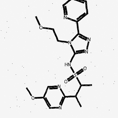 COCCn1c(NS(=O)(=O)C(C)C(C)c2ncc(OC)cn2)nnc1-c1ccccn1